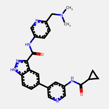 CN(C)Cc1ccc(NC(=O)c2n[nH]c3ccc(-c4cncc(NC(=O)C5CC5)c4)cc23)cn1